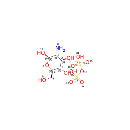 N[C@@H]1[C@@H](O)[C@H](O)[C@@H](CO)O[C@H]1O.O=S(=O)(O)OS(=O)(=O)O